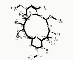 CC[C@H](/C=C(/C)[C@@H]1C[C@@H](OC)C[C@H](O)C(C)(C)[C@@]2(O)O[C@@H](C[C@@H](OC)C(O)C(=O)O1)C[C@@H](OC)[C@H]2O)CO